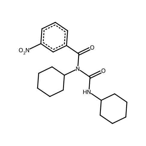 O=C(NC1CCCCC1)N(C(=O)c1cccc([N+](=O)[O-])c1)C1CCCCC1